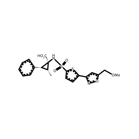 COCc1cc(-c2ccc(S(=O)(=O)N[C@@]3(C(=O)O)[C@H](C)[C@@H]3c3ccccc3)s2)no1